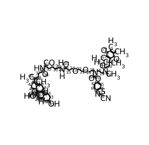 CC1=C(C)C(=O)C(C(C)(C)CC(=O)N(C)CCN(CCOCCOCCC(=O)NCCCCC(NC(=O)CC[C@@H](C)[C@H]2CCC3[C@@H]4[C@@H](O)C[C@@H]5C[C@H](O)CC[C@]5(C)[C@H]4CC[C@@]32C)C(=O)O)C(=O)Oc2ccc3nc(C#N)sc3c2)=C(C)C1=O